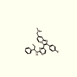 CCC(Nc1nccc(-c2c(-c3ccc(F)cc3)nc3cc(CN(C)C)ccn23)n1)c1ccccc1